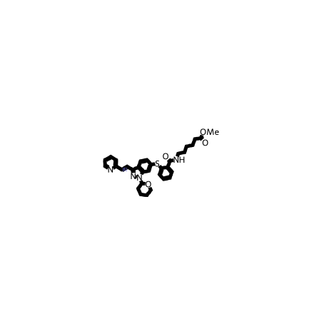 COC(=O)CCCCCNC(=O)c1ccccc1Sc1ccc2c(/C=C/c3ccccn3)nn(C3CCCCO3)c2c1